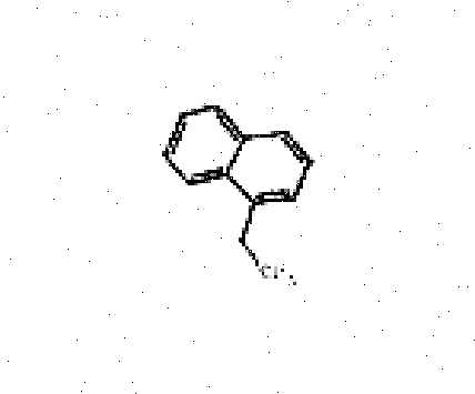 CCc1cc[c]c2ccccc12